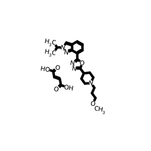 COCCCN1CCC(c2nnc(-c3cccc4cn(C(C)C)nc34)o2)CC1.O=C(O)C=CC(=O)O